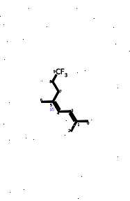 CC(C)=C/C=C(/C)CCC(F)(F)F